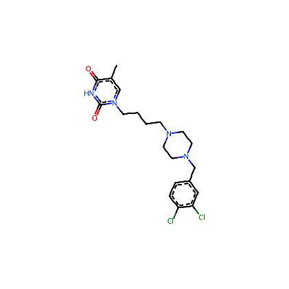 Cc1cn(CCCCN2CCN(Cc3ccc(Cl)c(Cl)c3)CC2)c(=O)[nH]c1=O